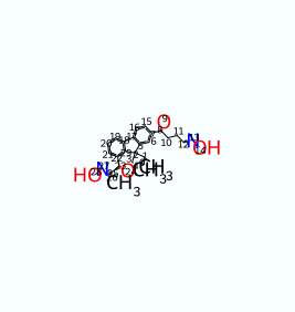 CCC1(CC)c2cc(C(=O)CCC=NO)ccc2-c2cccc(C(=O)C(C)=NO)c21